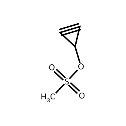 CS(=O)(=O)OC1C#C1